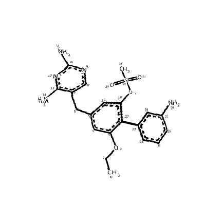 CCOc1cc(Cc2cnc(N)nc2N)cc(OS(C)(=O)=O)c1-c1cccc(N)c1